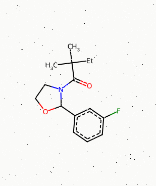 CCC(C)(C)C(=O)N1CCOC1c1cccc(F)c1